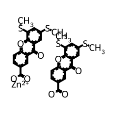 CSc1cc(SC)c2oc3ccc(C(=O)[O-])cc3c(=O)c2c1.CSc1cc(SC)c2oc3ccc(C(=O)[O-])cc3c(=O)c2c1.[Zn+2]